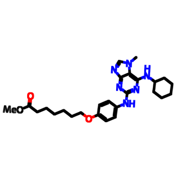 COC(=O)CCCCCCOc1ccc(Nc2nc(NC3CCCCC3)c3c(ncn3C)n2)cc1